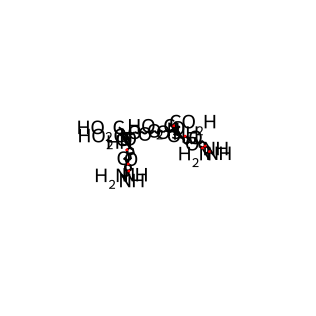 N=C(N)Nc1ccc(C(=O)Oc2ccc(CNS(=O)(=O)N(CCOCCOCCOCCOCCN(C(CC(=O)O)C(=O)O)S(=O)(=O)NCc3ccc(OC(=O)c4ccc(NC(=N)N)cc4)cc3)C(CC(=O)O)C(=O)O)cc2)cc1